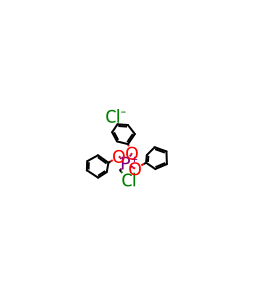 ClC[P+](Oc1ccccc1)(Oc1ccccc1)Oc1ccccc1.[Cl-]